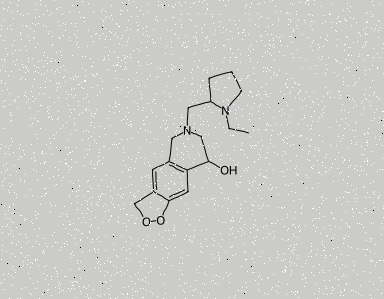 CCN1CCCC1CN1Cc2cc3c(cc2C(O)C1)OOC3